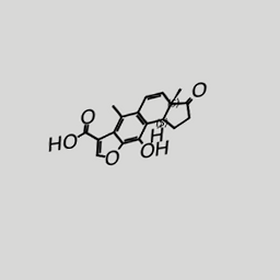 Cc1c2c(c(O)c3occ(C(=O)O)c13)[C@@H]1CCC(=O)[C@@]1(C)C=C2